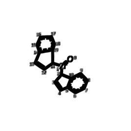 [O]=[Zr]([CH]1C=Cc2ccccc21)[CH]1C=Cc2ccccc21